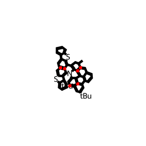 CC1C=CC(N(c2ccccc2-c2cccc3cccc(-c4cc(C(C)(C)C)cc(C(C)(C)C)c4)c23)c2cccc3sc4ccccc4c23)=C(c2cccc3c2sc2ccccc23)C1